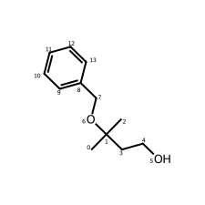 CC(C)(CCO)OCc1ccccc1